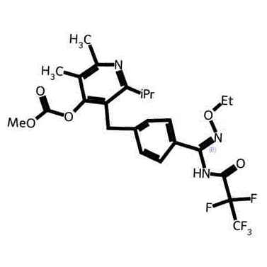 CCO/N=C(/NC(=O)C(F)(F)C(F)(F)F)c1ccc(Cc2c(C(C)C)nc(C)c(C)c2OC(=O)OC)cc1